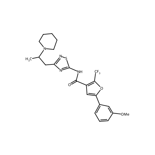 COc1cccc(-c2cc(C(=O)Nc3nc(CC(C)N4CCCCC4)ns3)c(C(F)(F)F)o2)c1